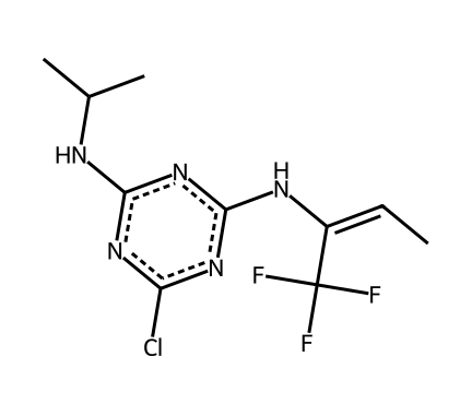 CC=C(Nc1nc(Cl)nc(NC(C)C)n1)C(F)(F)F